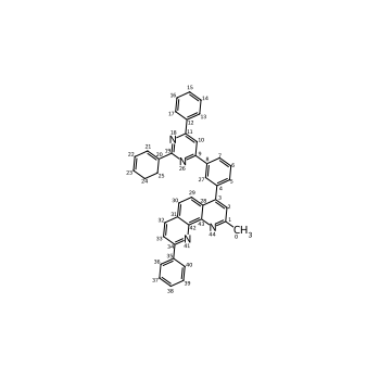 Cc1cc(-c2cccc(-c3cc(-c4ccccc4)nc(C4=CC=CCC4)n3)c2)c2ccc3ccc(-c4ccccc4)nc3c2n1